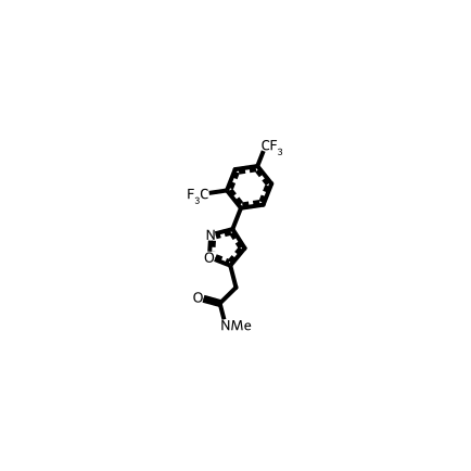 CNC(=O)Cc1cc(-c2ccc(C(F)(F)F)cc2C(F)(F)F)no1